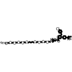 CCCCCCOCCOCCOCCOCCOCCOCCCCCOCCOCCOCCOCCn1cc(CNC(=O)C2CN(C3CCC(c4cc(C)n(C)n4)CC3)C(Cc3ccc(Cl)cc3)CO2)nn1